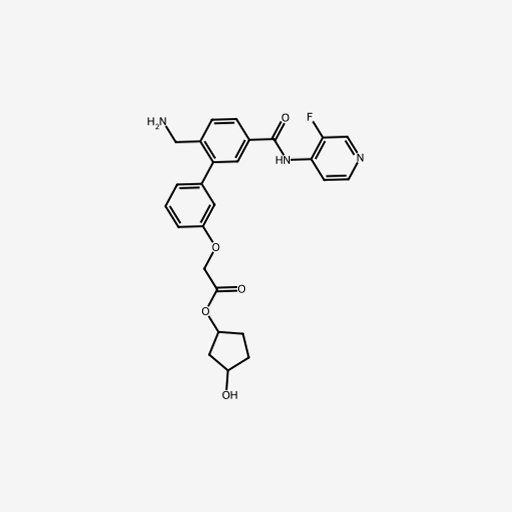 NCc1ccc(C(=O)Nc2ccncc2F)cc1-c1cccc(OCC(=O)OC2CCC(O)C2)c1